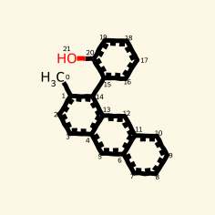 Cc1ccc2cc3ccccc3cc2c1-c1ccccc1O